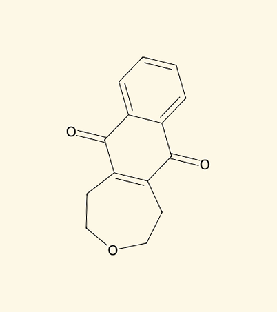 O=C1C2=C(CCOCC2)C(=O)c2ccccc21